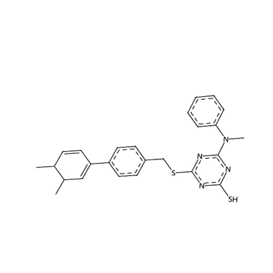 CC1C=CC(c2ccc(CSc3nc(S)nc(N(C)c4ccccc4)n3)cc2)=CC1C